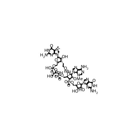 CCCCOCC[C@H]1[C@@H](O)[C@H](n2c[n+](C)c3c(=O)[nH]c(N)nc32)O[C@@H]1COP(=O)(O)OP(=O)(O)OP(=O)(O)OCC1O[C@@H](n2cnc3c(N)ncnc32)[C@H](OC)[C@@H]1P(=O)([O-])OC[C@H]1O[C@@H](n2cnc3c(=O)[nH]c(N)nc32)[C@H](O)[C@@H]1O